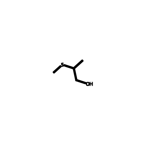 CSC(C)CO